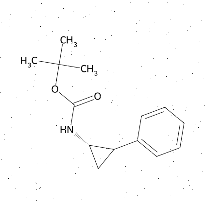 CC(C)(C)OC(=O)N[C@H]1CC1c1ccccc1